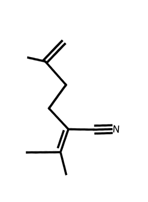 C=C(C)CCC(C#N)=C(C)C